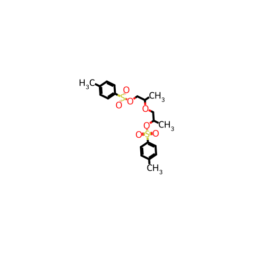 Cc1ccc(S(=O)(=O)OCC(C)OCC(C)OS(=O)(=O)c2ccc(C)cc2)cc1